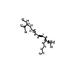 CCCCC/C(=C\C#CCSCCC(CC)C(C)C)NC